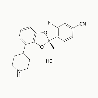 C[C@]1(c2ccc(C#N)cc2F)Oc2cccc(C3CCNCC3)c2O1.Cl